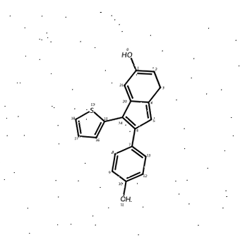 OC1=CCC2=CC(c3ccc(O)cc3)=C(c3cccs3)C2=C1